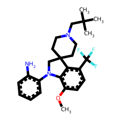 COc1ccc(C(F)(F)F)c2c1N(c1ccccc1N)CC21CCN(CC(C)(C)C)CC1